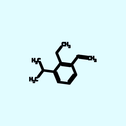 C=[C]c1cccc(C(C)C)c1CC